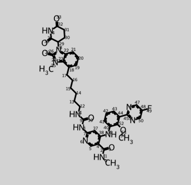 CNC(=O)c1cnc(NC(=O)NCCCCCCc2cccc3c2n(C)c(=O)n3C2CCC(=O)NC2=O)cc1Nc1cccc(-c2ncc(F)cn2)c1OC